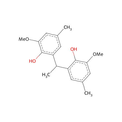 COc1cc(C)cc(C(C)c2cc(C)cc(OC)c2O)c1O